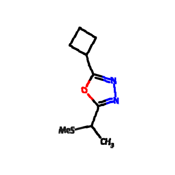 CSC(C)c1nnc(C2CCC2)o1